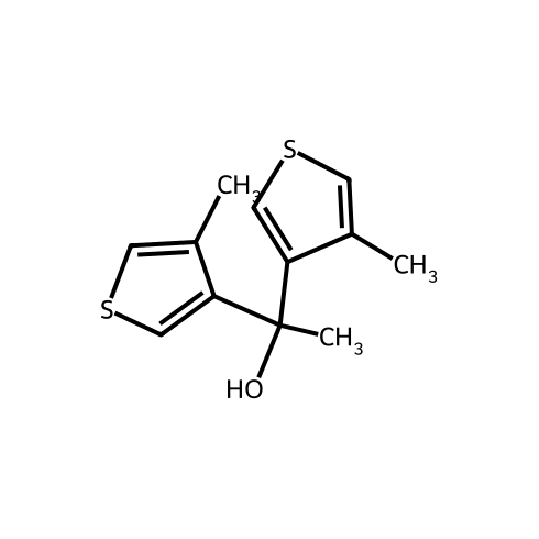 Cc1cscc1C(C)(O)c1cscc1C